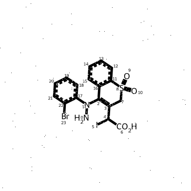 NN(C1=C(C(I)C(=O)O)CS(=O)(=O)c2ccccc21)c1ccccc1Br